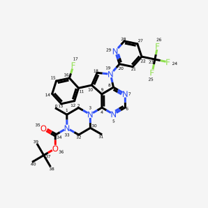 CC1CN(c2ncnc3c2c(-c2ccccc2F)cn3-c2cc(C(F)(F)F)ccn2)C(C)CN1C(=O)OC(C)(C)C